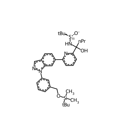 CCCC(O)(N[S@+]([O-])C(C)(C)C)c1cccc(-c2ccc3cnn(-c4cccc(CO[Si](C)(C)C(C)(C)C)c4)c3c2)n1